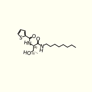 CCCCCCCCNC(=O)[C@H](NC(=O)c1cccs1)[C@H](C)O